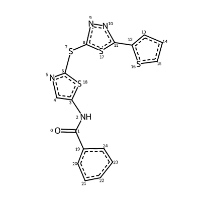 O=C(Nc1cnc(Sc2nnc(-c3cccs3)s2)s1)c1ccccc1